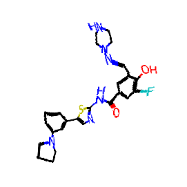 O=C(Nc1ncc(-c2cccc(N3CCCC3)c2)s1)c1cc(F)c(O)c(C=NN2CCNCC2)c1